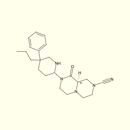 CCCC1(c2ccccc2)CCC(N2CCN3CCN(C#N)C[C@@H]3C2=O)NC1